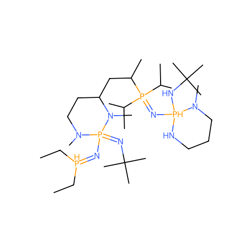 CC[PH](CC)=NP1(=NC(C)(C)C)N(C)CCC(CC(C)P(=N[PH]2(NC(C)(C)C)NCCCN2C)(C(C)C)C(C)C)N1C